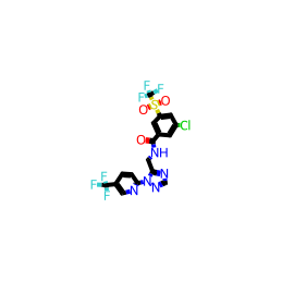 O=C(NCc1ncnn1-c1ccc(C(F)(F)F)cn1)c1cc(Cl)cc(S(=O)(=O)C(F)(F)F)c1